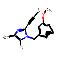 CC#Cc1nc(C)c(C)n1Cc1cccc(OC)c1